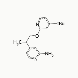 CC(COc1cc(C(C)(C)C)ccn1)c1ccnc(N)c1